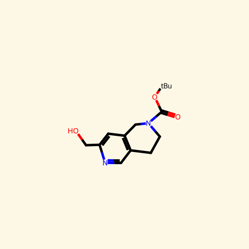 CC(C)(C)OC(=O)N1CCc2cnc(CO)cc2C1